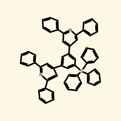 c1ccc(-c2cc(-c3cc(-c4cc(-c5ccccc5)nc(-c5ccccc5)c4)cc(S(c4ccccc4)(c4ccccc4)c4ccccc4)c3)cc(-c3ccccc3)n2)cc1